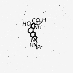 CC(C)NCc1cc2cc3c(cc2n1C)CCc1c-3[nH]c(=O)c(C(=O)O)c1O